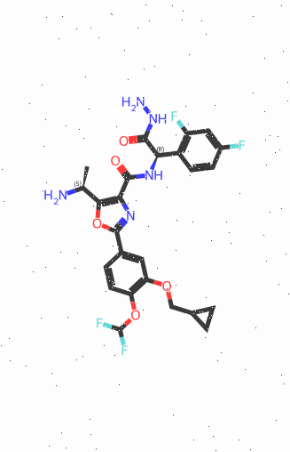 C[C@H](N)c1oc(-c2ccc(OC(F)F)c(OCC3CC3)c2)nc1C(=O)N[C@@H](C(=O)NN)c1ccc(F)cc1F